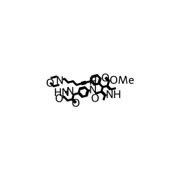 COC(=O)C1=C(C)NC(C)=C(C(=O)Nc2ccc(C3=NNC(=O)CC3=O)cc2)C1c1cccc(C#CCCCCN2CCOCC2)c1